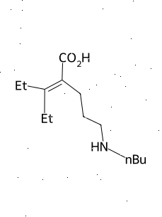 CCCCNCCCC(C(=O)O)=C(CC)CC